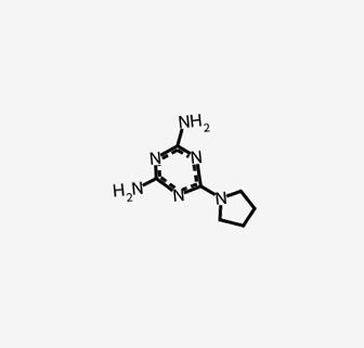 Nc1nc(N)nc(N2CCCC2)n1